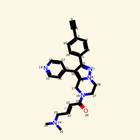 C#Cc1ccc(-c2nn3c(c2-c2ccncc2)CN(C(=O)/C=C/CN(C)C)CC3)cc1